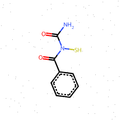 NC(=O)N(S)C(=O)c1ccccc1